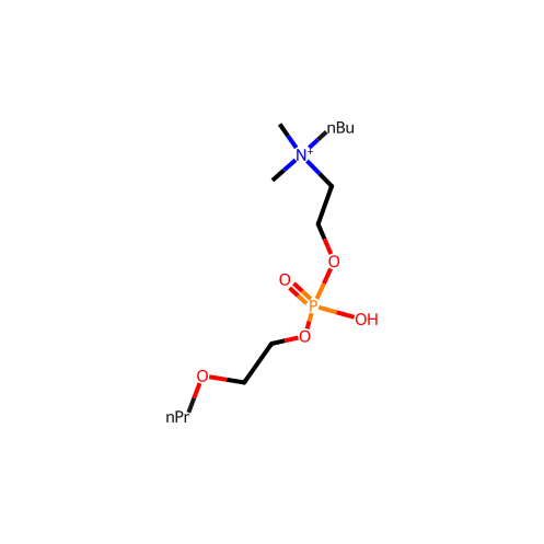 CCCC[N+](C)(C)CCOP(=O)(O)OCCOCCC